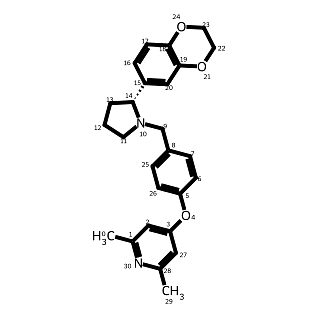 Cc1cc(Oc2ccc(CN3CCC[C@@H]3c3ccc4c(c3)OCCO4)cc2)cc(C)n1